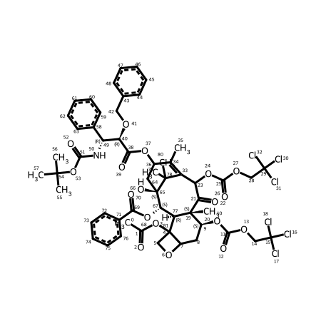 CC(=O)OC12COC1C[C@H](OC(=O)OCC(Cl)(Cl)Cl)[C@@]1(C)C(=O)C(OC(=O)OCC(Cl)(Cl)Cl)C3=C(C)C(OC(=O)[C@H](OCc4ccccc4)[C@H](NC(=O)OC(C)(C)C)c4ccccc4)C[C@@](O)([C@@H](OC(=O)c4ccccc4)[C@H]21)C3(C)C